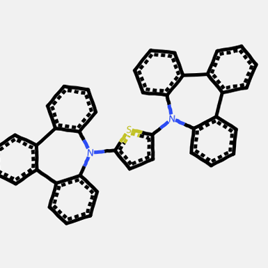 c1ccc2c(c1)-c1ccccc1N(c1ccc(N3c4ccccc4-c4ccccc4-c4ccccc43)s1)c1ccccc1-2